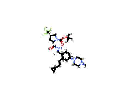 C[C@H](NC(=O)[C@@H]1C[C@@H](C(F)(F)F)CN1C(=O)OC(C)(C)C)c1ccc(N2CCN(C)CC2)cc1/C=C/C1CC1